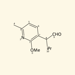 COc1nc(C)ccc1C(C=O)C(C)C